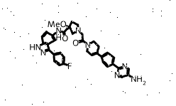 CO[C@@]1(C(=O)Nc2ccc3[nH]nc(-c4ccc(F)cc4)c3c2)CCN(CC(=O)N2CC=C(c3ccc(-c4ncc(N)cn4)cc3)CC2)C1